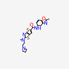 Cc1nc2c(o1)C=CC(NC(=O)c1cc3sc(N(C)CCN4CCC4)nc3s1)C2